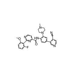 COc1cccc(F)c1-c1nccc(C(=O)Nc2ccc(-c3cnccc3C#N)cc2N2CCN(C)CC2)n1